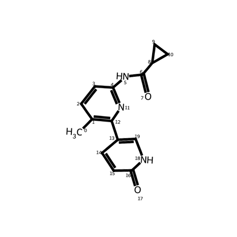 Cc1ccc(NC(=O)C2CC2)nc1-c1ccc(=O)[nH]c1